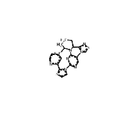 CCC1c2nncn2-c2cnc(-n3ccnc3-c3ccccn3)nc2N1C(C)C